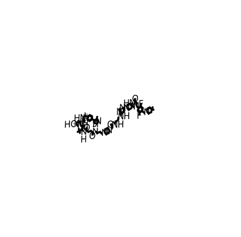 Cc1ncsc1-c1ccc([C@H](C)NC(=O)[C@@H]2C[C@@H](O)CN2C(=O)[C@@H](NC(=O)CCC(=O)NCCCN2CCN(CC(=O)NCCCNc3cc(N4CCC5(CC4)CN(c4cc(F)c(CN6CCC(C)(C)CC6)cc4F)CC(=O)N5)ncn3)CC2)C(C)(C)C)cc1